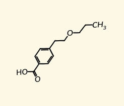 CCCOCCc1ccc(C(=O)O)cc1